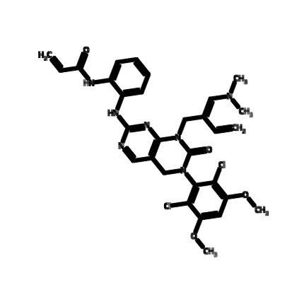 C=CC(=O)Nc1ccccc1Nc1ncc2c(n1)N(C/C(C=C)=C/N(C)C)C(=O)N(c1c(Cl)c(OC)cc(OC)c1Cl)C2